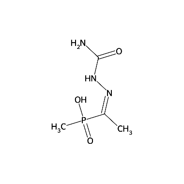 CC(=NNC(N)=O)P(C)(=O)O